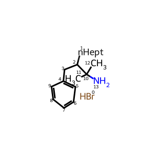 Br.CCCCCCCC(Cc1ccccc1)C(C)(C)N